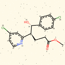 COC(=O)CC[C@@H](c1cc(Cl)ccn1)[C@H](O)c1ccc(Cl)cc1